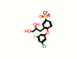 O=S(=O)(c1ccc(Oc2cc(F)cc(Cl)c2)c(CC(O)CO)c1)C(F)(F)F